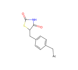 CC(=O)Cc1ccc(CC2SC(=O)NC2=O)cc1